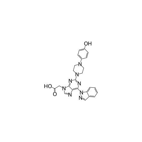 O=C(O)Cn1cnc2c(-n3ncc4ccccc43)nc(N3CCN(c4ccc(O)cc4)CC3)nc21